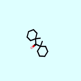 CC1(C(=O)C2(C)CCCCC2)CCCCC1